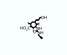 C#CCNC(=O)NC1C(I)C(/C=C/CO)CC(I)C(C(=O)O)C1I